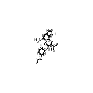 CCOc1ncc(F)c(NC(=O)[C@@H](Sc2nc(N)nc3nc[nH]c23)C(C)C)n1